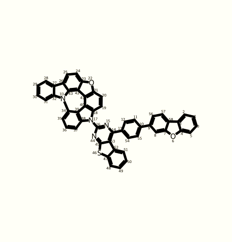 c1ccc2c(c1)oc1cc(-c3ccc(-c4nc(-n5c6ccc7oc8ccc9c%10ccccc%10n%10c%11cccc5c%11c6c7c8c9%10)nc5sc6ccccc6c45)cc3)ccc12